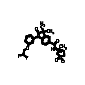 CC1(C)C(=O)N(c2cccc(OCC(F)F)c2)c2ccc(C(=O)N[C@]3(C)CCS(=O)(=O)C3)cc21